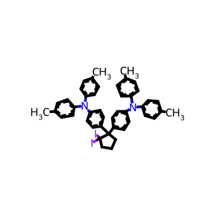 Cc1ccc(N(c2ccc(C)cc2)c2ccc(C3(c4ccc(N(c5ccc(C)cc5)c5ccc(C)cc5)cc4)CCCC3(I)I)cc2)cc1